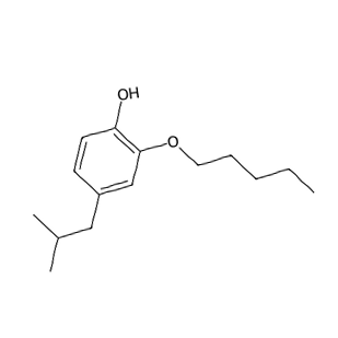 CCCCCOc1cc(CC(C)C)ccc1O